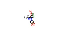 O=S1(=O)CCC(n2nc(C(F)(F)F)c3c2CC(F)(F)[C@H]3O)CC1